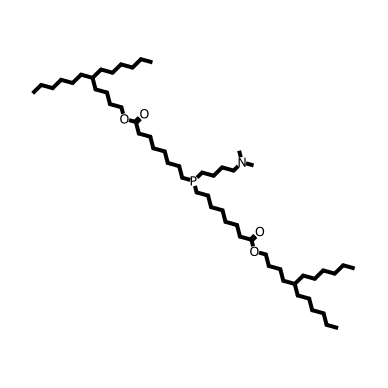 CCCCCCC(CCCCCC)CCCCOC(=O)CCCCCCCP(CCCCCCCC(=O)OCCCCC(CCCCCC)CCCCCC)CCCCN(C)C